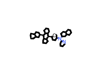 c1ccc(N(c2ccc(-c3c4ccccc4c(-c4ccc5ccccc5c4)c4ccccc34)cc2)c2ccc3ccccc3c2)nc1